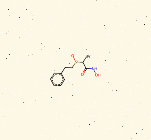 CC(C)C(C(=O)NO)[S+]([O-])CCc1ccccc1